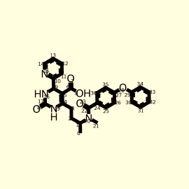 CC(CCC1=C(C(=O)O)C(c2ccccn2)NC(=O)N1)N(C)C(=O)c1ccc(Oc2ccccc2)cc1